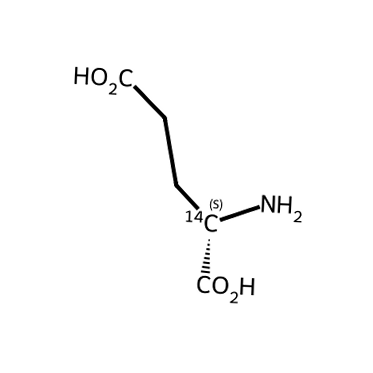 N[14C@@H](CCC(=O)O)C(=O)O